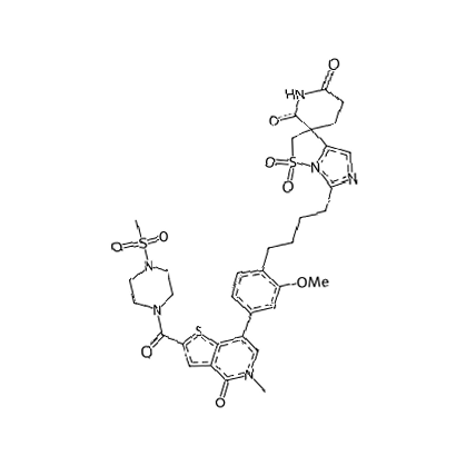 COc1cc(-c2cn(C)c(=O)c3cc(C(=O)N4CCN(S(C)(=O)=O)CC4)sc23)ccc1CCCCc1ncc2n1S(=O)(=O)CC21CCC(=O)NC1=O